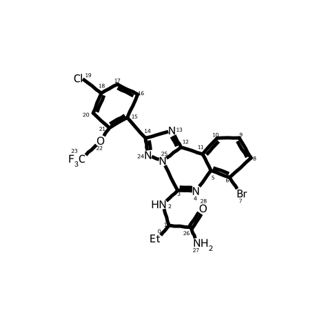 CCC(Nc1nc2c(Br)cccc2c2nc(-c3ccc(Cl)cc3OC(F)(F)F)nn12)C(N)=O